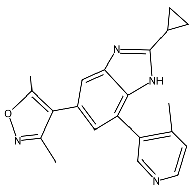 Cc1ccncc1-c1cc(-c2c(C)noc2C)cc2nc(C3CC3)[nH]c12